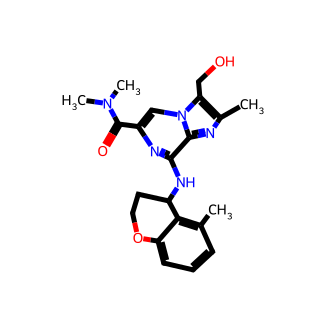 Cc1cccc2c1C(Nc1nc(C(=O)N(C)C)cn3c(CO)c(C)nc13)CCO2